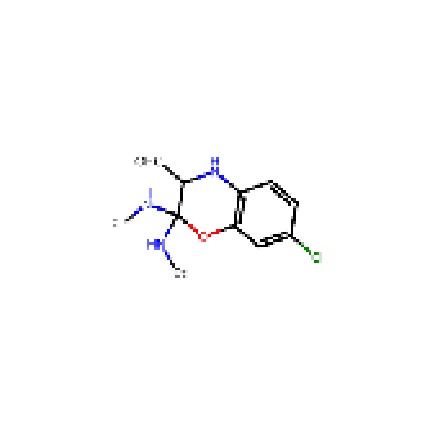 CCNC1(NCC)Oc2cc(Cl)ccc2NC1C=O